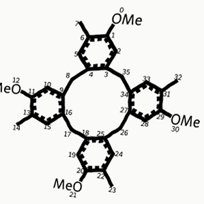 COc1cc2c(cc1C)Cc1cc(OC)c(C)cc1Cc1cc(OC)c(C)cc1Cc1cc(OC)c(C)cc1C2